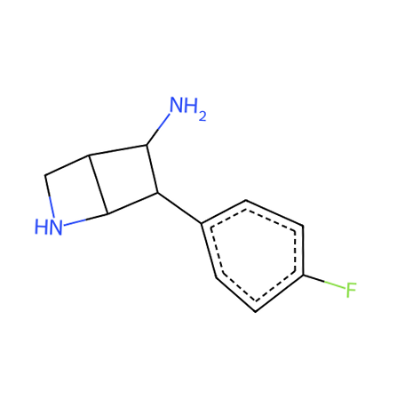 NC1C2CNC2C1c1ccc(F)cc1